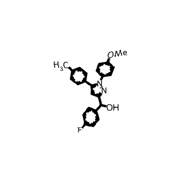 COc1ccc(-n2nc(C(O)c3ccc(F)cc3)cc2-c2ccc(C)cc2)cc1